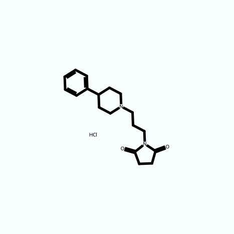 Cl.O=C1CCC(=O)N1CCCN1CCC(c2ccccc2)CC1